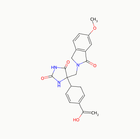 C=C(O)C1=CCC(C2(CN3Cc4ccc(OC)cc4C3=O)NC(=O)NC2=O)C=C1